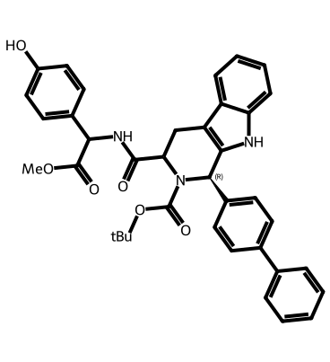 COC(=O)C(NC(=O)C1Cc2c([nH]c3ccccc23)[C@@H](c2ccc(-c3ccccc3)cc2)N1C(=O)OC(C)(C)C)c1ccc(O)cc1